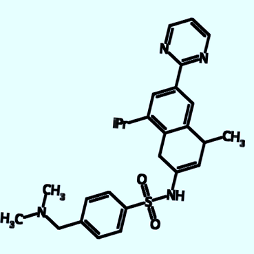 CC(C)c1cc(-c2ncccn2)cc2c1CC(NS(=O)(=O)c1ccc(CN(C)C)cc1)=CC2C